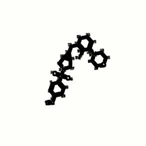 CC(C)(C)c1ccc(S(=O)(=O)N2CC3C(CC4=C(F)C(N5CCOCC5)=CC[CH]4)C3C2)cc1